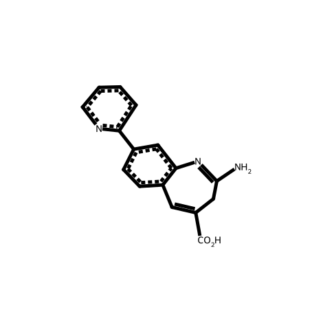 NC1=Nc2cc(-c3ccccn3)ccc2C=C(C(=O)O)C1